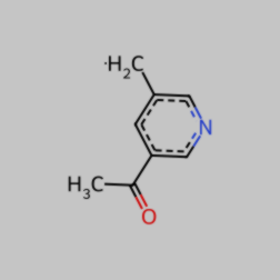 [CH2]c1cncc(C(C)=O)c1